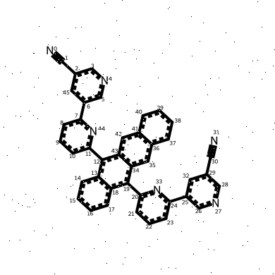 N#Cc1cncc(-c2cccc(-c3c4ccccc4c(-c4cccc(-c5cncc(C#N)c5)n4)c4cc5ccccc5cc34)n2)c1